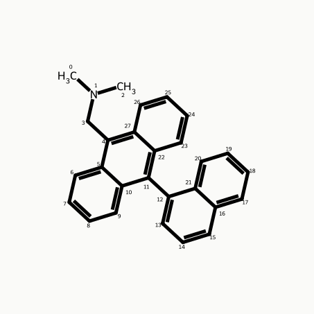 CN(C)Cc1c2ccccc2c(-c2cccc3ccccc23)c2ccccc12